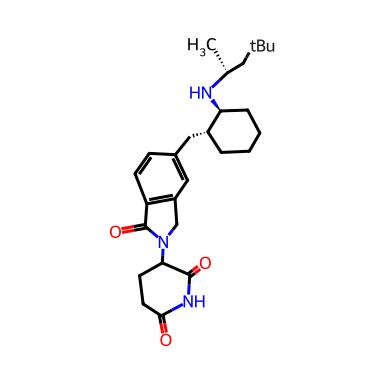 C[C@H](CC(C)(C)C)N[C@H]1CCCC[C@@H]1Cc1ccc2c(c1)CN(C1CCC(=O)NC1=O)C2=O